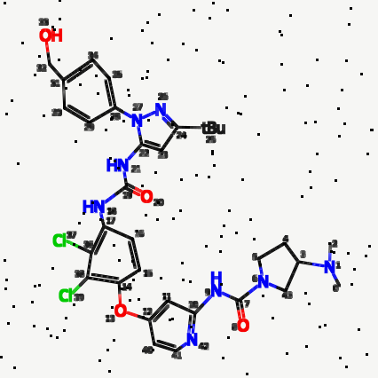 CN(C)C1CCN(C(=O)Nc2cc(Oc3ccc(NC(=O)Nc4cc(C(C)(C)C)nn4-c4ccc(CO)cc4)c(Cl)c3Cl)ccn2)C1